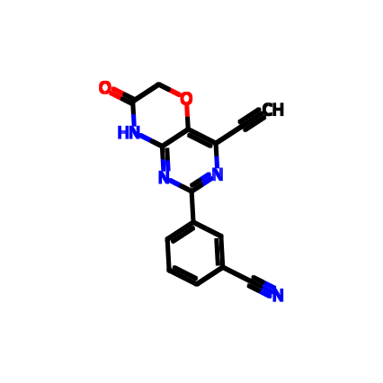 C#Cc1nc(-c2cccc(C#N)c2)nc2c1OCC(=O)N2